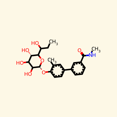 CCC(O)C1O[C@H](Oc2ccc(-c3cccc(C(=O)NC)c3)cc2C)C(O)C(O)[C@@H]1O